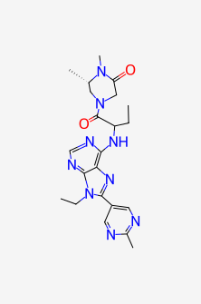 CCC(Nc1ncnc2c1nc(-c1cnc(C)nc1)n2CC)C(=O)N1CC(=O)N(C)[C@@H](C)C1